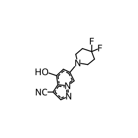 N#Cc1cnn2cc(N3CCC(F)(F)CC3)cc(O)c12